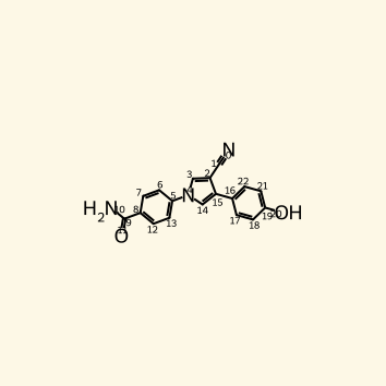 N#Cc1cn(-c2ccc(C(N)=O)cc2)cc1-c1ccc(O)cc1